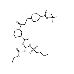 CCCCS(=O)(=O)N[C@@H](CC(=O)OCC)NC(=O)[C@@H]1CCCN(C(=O)CCC2CCN(C(=O)OC(C)(C)C)CC2)C1